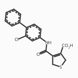 O=C(O)C1=C(C(=O)Nc2ccc(-c3ccccc3)c(Cl)c2)CSC1